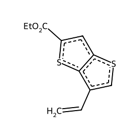 C=Cc1csc2cc(C(=O)OCC)sc12